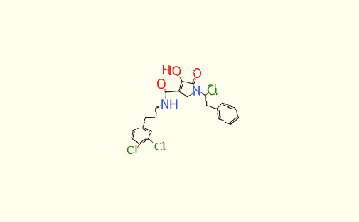 O=C(NCCCc1ccc(Cl)c(Cl)c1)C1=C(O)C(=O)N(C(Cl)Cc2ccccc2)C1